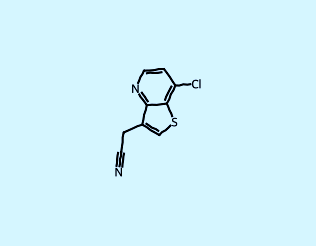 N#CCc1csc2c(Cl)ccnc12